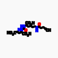 C#CCCC(=O)NCCCCC(NC(=O)NC(CCC(=O)O)C(=O)O)C(=O)O